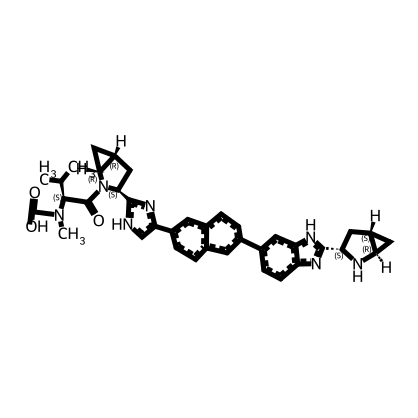 CC(C)[C@@H](C(=O)N1[C@@H]2C[C@@H]2C[C@H]1c1nc(-c2ccc3cc(-c4ccc5nc([C@@H]6C[C@@H]7C[C@H]7N6)[nH]c5c4)ccc3c2)c[nH]1)N(C)C(=O)O